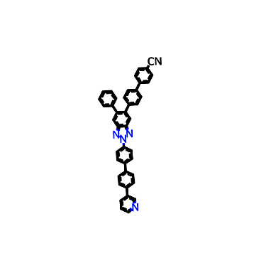 N#Cc1ccc(-c2ccc(-c3cc4nn(-c5ccc(-c6ccc(-c7cccnc7)cc6)cc5)nc4cc3-c3ccccc3)cc2)cc1